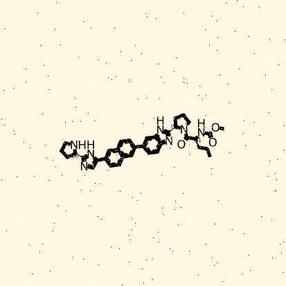 CCC[C@H](NC(=O)OC)C(=O)N1CCC[C@H]1c1nc2ccc(-c3ccc4cc(-c5cnc([C@@H]6CCCN6)[nH]5)ccc4c3)cc2[nH]1